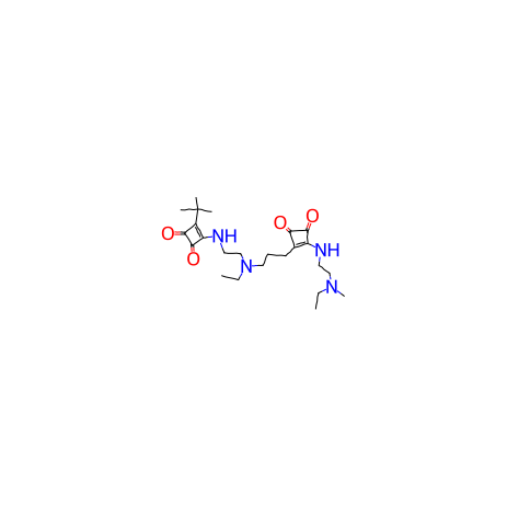 CCN(C)CCNc1c(CCCN(CC)CCNc2c(C(C)(C)C)c(=O)c2=O)c(=O)c1=O